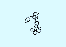 Cn1ccc2c(CN3CCOCC3)cc(-c3ccc4c(c3)CN(N3C(=O)CCCC3=O)C4=O)nc21